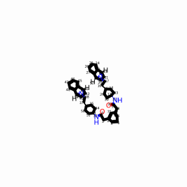 O=C(Cc1cccc(CC(=O)N[C@H]2CC[C@H](CCN3[C@@H]4CC[C@H]3c3ccccc34)CC2)c1)N[C@H]1CC[C@H](CCN2[C@@H]3CC[C@H]2c2ccccc23)CC1